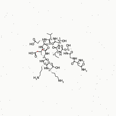 CC[C@H](C)[C@H](NC(=O)[C@@H](NC(=O)CNC(=O)[C@@H](N)CC(N)=O)[C@@H](C)O)C(=O)N[C@H](C(=O)N[C@H](C(=O)N[C@@H](CCC(=O)O)C(=O)N[C@@H](CCC(=O)O)C(=O)N[C@@H](CC(C)C)C(=O)N[C@@H](CCCCN)C(=O)N[C@@H](CCCCN)C(=O)O)C(C)C)[C@@H](C)O